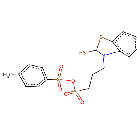 Cc1ccc(S(=O)(=O)OS(=O)(=O)CCCN2c3ccccc3SC2S)cc1